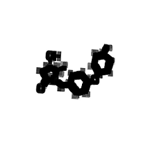 Cc1ccc(Oc2ccc(CN3C(=O)C[C@H](O)[C@H]3C)cc2)cc1